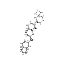 O=C(Cn1nc(N2CCCC3(CCC3)C2)ccc1=O)Nc1ccc2ocnc2c1